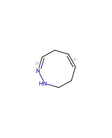 C1=C\CCN/N=C\C/1